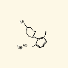 Br.Br.Cc1cccc(C)c1N1CCC(N)CC1